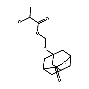 CC(Cl)C(=O)OCOC12CC3CC(C1)OC(=O)C(C3)C2